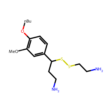 CCCCOc1ccc(C(CCN)SSCCN)cc1OC